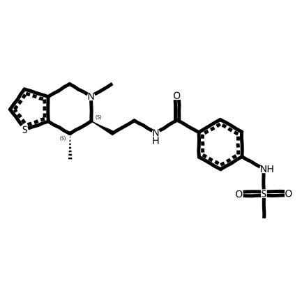 C[C@@H]1c2sccc2CN(C)[C@H]1CCNC(=O)c1ccc(NS(C)(=O)=O)cc1